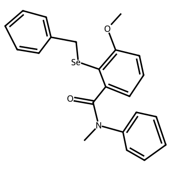 COc1cccc(C(=O)N(C)c2ccccc2)c1[Se]Cc1ccccc1